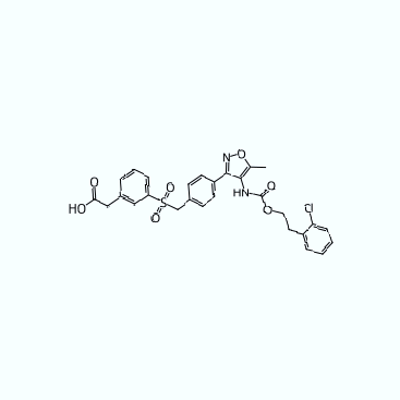 Cc1onc(-c2ccc(CS(=O)(=O)c3cccc(CC(=O)O)c3)cc2)c1NC(=O)OCCc1ccccc1Cl